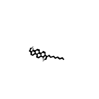 CCCCCCCCc1csc2c1ccc1c3ccc4c(ccc5ccsc54)c3ccc12